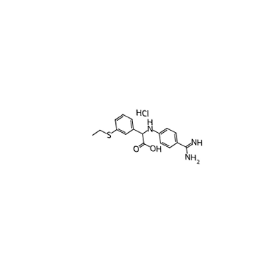 CCSc1cccc(C(Nc2ccc(C(=N)N)cc2)C(=O)O)c1.Cl